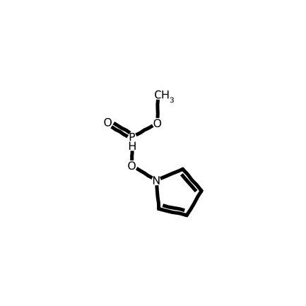 CO[PH](=O)On1cccc1